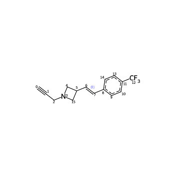 C#CCN1CC(/C=C/c2ccc(C(F)(F)F)cc2)C1